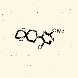 COc1ncc(Cl)c(N2CCC3(CC2)OCCO3)n1